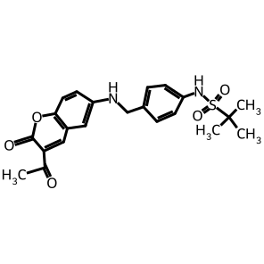 CC(=O)c1cc2cc(NCc3ccc(NS(=O)(=O)C(C)(C)C)cc3)ccc2oc1=O